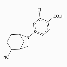 N#CC1CCC2CC1CN2c1ccc(C(=O)O)c(Cl)c1